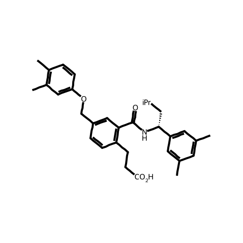 Cc1cc(C)cc([C@@H](CC(C)C)NC(=O)c2cc(COc3ccc(C)c(C)c3)ccc2CCC(=O)O)c1